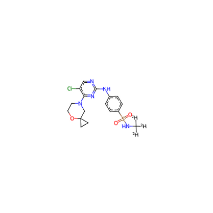 [2H]C([2H])([2H])NS(=O)(=O)c1ccc(Nc2ncc(Cl)c(N3CCOC4(CC4)C3)n2)cc1